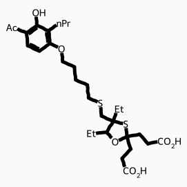 CCCc1c(OCCCCCSCC2(CC)SC(CCC(=O)O)(CCC(=O)O)OC2CC)ccc(C(C)=O)c1O